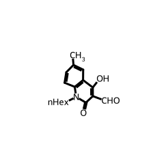 CCCCCCn1c(=O)c(C=O)c(O)c2cc(C)ccc21